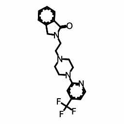 O=C1c2ccccc2CN1CCN1CCN(c2cc(C(F)(F)F)ccn2)CC1